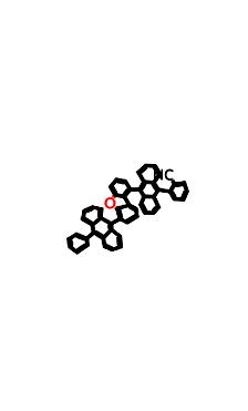 N#Cc1ccccc1C1=c2ccccc2=C(c2cccc3oc4c(-c5c6ccccc6c(-c6ccccc6)c6ccccc56)cccc4c23)C2C=CC=CC12